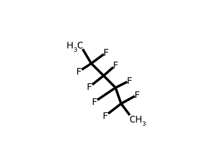 CC(F)(F)C(F)(F)C(F)(F)C(C)(F)F